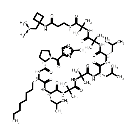 CCCCCCCC[C@H](NC(=O)[C@@H]1CCCN1C(=O)c1coc(C)n1)C(=O)N[C@@H](CC(C)C)C(=O)NC(C)(C)C(=O)NC(C)(C)C(=O)N[C@@H](CC(C)C)C(=O)N[C@@H](CC(C)C)C(=O)NC(C)(C)C(=O)NC(C)(C)C(=O)NCCC(=O)NC1(CN(C)C)CCC1